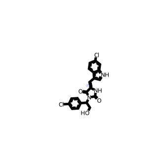 O=C1N/C(=C\c2c[nH]c3cc(Cl)ccc23)C(=O)N1C(CO)c1ccc(Cl)cc1